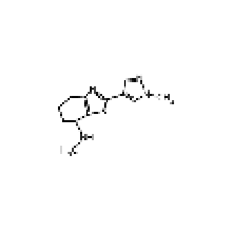 CNC1CCCc2nc(-c3cnn(C)c3)sc21